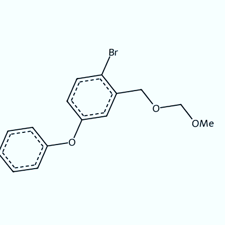 COCOCc1cc(Oc2ccccc2)ccc1Br